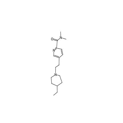 CCC1CCN(CCc2ccc(C(=O)N(C)C)nc2)CC1